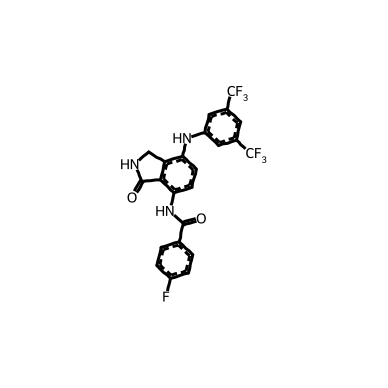 O=C(Nc1ccc(Nc2cc(C(F)(F)F)cc(C(F)(F)F)c2)c2c1C(=O)NC2)c1ccc(F)cc1